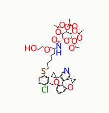 CC(=O)OC1O[C@H](C(=O)NC(CCCCCSc2ccc(Cl)c(COC3(c4cnccc4-c4ccccc4OC4CC4)CC3)c2)COCCO)[C@@H](OC(C)=O)[C@H](OC(C)=O)[C@H]1OC(C)=O